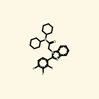 O=C(Cn1c(-c2ccc(F)c(F)c2F)nc2ccccc21)N(C1CCCCC1)C1CCCCC1